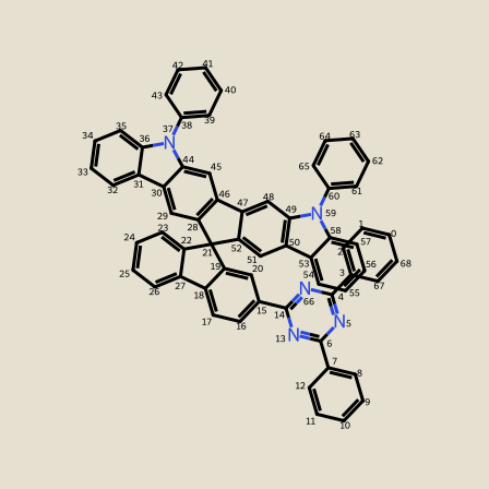 c1ccc(-c2nc(-c3ccccc3)nc(-c3ccc4c(c3)C3(c5ccccc5-4)c4cc5c6ccccc6n(-c6ccccc6)c5cc4-c4cc5c(cc43)c3ccccc3n5-c3ccccc3)n2)cc1